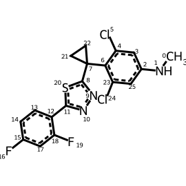 CNc1cc(Cl)c(C2(c3nnc(-c4ccc(F)cc4F)s3)CC2)c(Cl)c1